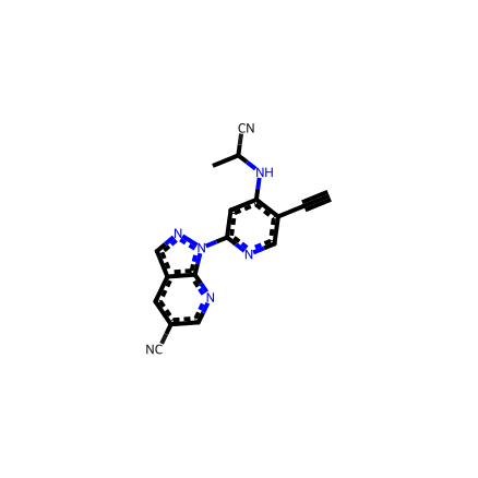 C#Cc1cnc(-n2ncc3cc(C#N)cnc32)cc1NC(C)C#N